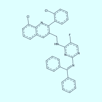 Fc1cnc(N=C(c2ccccc2)c2ccccc2)nc1NCc1cc2cccc(Cl)c2nc1-c1ccccc1Cl